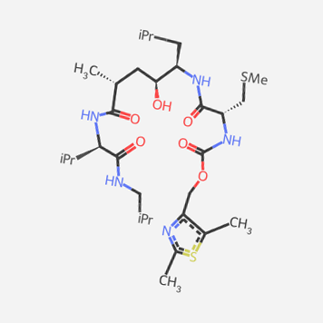 CSC[C@H](NC(=O)OCc1nc(C)sc1C)C(=O)N[C@H](CC(C)C)[C@@H](O)C[C@@H](C)C(=O)N[C@@H](C(=O)NCC(C)C)C(C)C